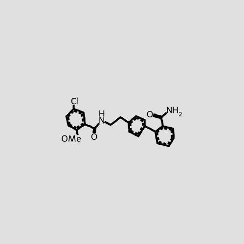 COc1ccc(Cl)cc1C(=O)NCCc1ccc(-c2ccccc2C(N)=O)cc1